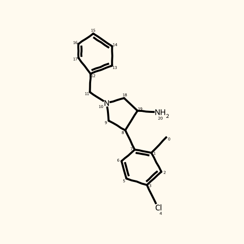 Cc1cc(Cl)ccc1C1CN(Cc2ccccc2)CC1N